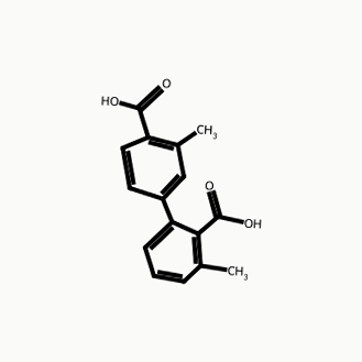 Cc1cc(-c2cccc(C)c2C(=O)O)ccc1C(=O)O